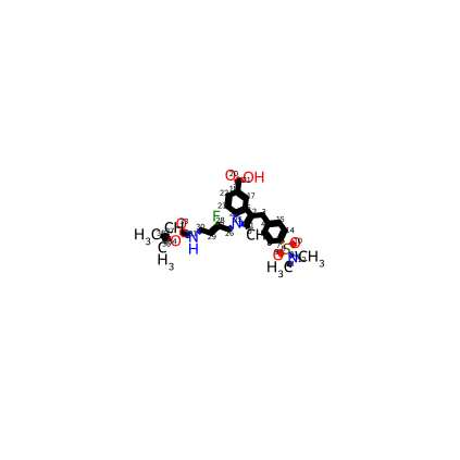 Cc1c(Cc2ccc(S(=O)(=O)N(C)C)cc2)c2cc(C(=O)O)ccc2n1C/C(F)=C/CNC(=O)OC(C)(C)C